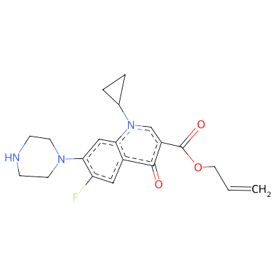 C=CCOC(=O)c1cn(C2CC2)c2cc(N3CCNCC3)c(F)cc2c1=O